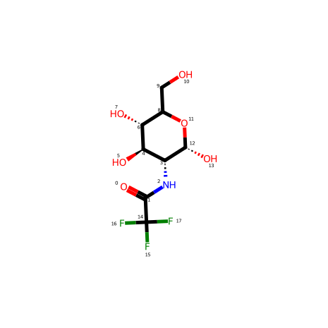 O=C(N[C@@H]1[C@@H](O)[C@H](O)C(CO)O[C@@H]1O)C(F)(F)F